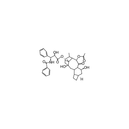 CC(=O)OC1C(=O)C2C(C[C@]3(O)C[C@H](OC(=O)[C@H](O)[C@@H](NC(=O)c4ccccc4)c4ccccc4)C(C)C1C3(C)C)C1CC[C@@H]1C[C@@H]2O